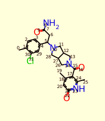 Cc1ccc(C(CC(N)=O)N2CC3CN(C(=O)c4c(C)cc(=O)[nH]c4C)CC3C2)cc1Cl